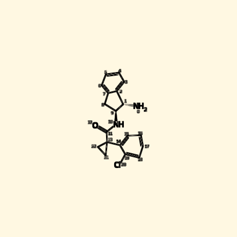 N[C@H]1c2ccccc2C[C@@H]1NC(=O)C1(c2ccccc2Cl)CC1